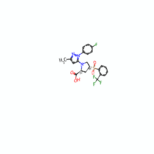 Cc1cc(N2C[C@H](S(=O)(=O)c3ccccc3C(F)(F)F)C[C@H]2C(=O)O)n(-c2ccc(F)cc2)n1